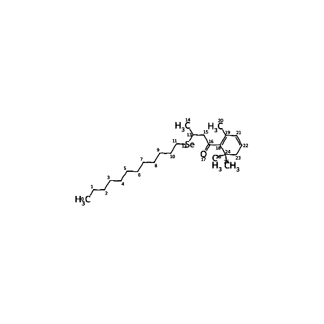 CCCCCCCCCCCC[Se]C(C)CC(=O)C1=C(C)C=CCC1(C)C